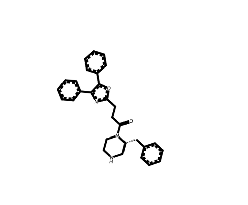 O=C(CCc1nc(-c2ccccc2)c(-c2ccccc2)o1)N1CCNC[C@H]1Cc1ccccc1